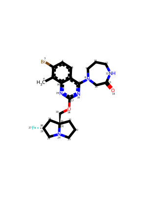 Cc1c(Br)ccc2c(N3CCCNC(=O)C3)nc(OC[C@@]34CCCN3C[C@H](F)C4)nc12